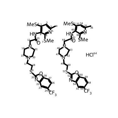 CSc1cc(C)nc(SC)c1NC(=O)CN1CCN(CCSc2nc3cc(C(F)(F)F)ccc3o2)CC1.CSc1cc(C)nc(SC)c1NC(=O)CN1CCN(CCSc2nc3cc(C(F)(F)F)ccc3o2)CC1.Cl